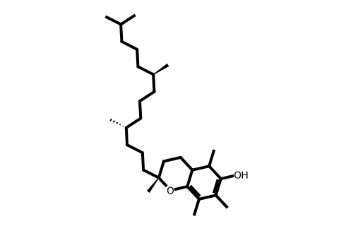 CC1=C(O)C(C)C2CC[C@@](C)(CCC[C@H](C)CCC[C@H](C)CCCC(C)C)OC2=C1C